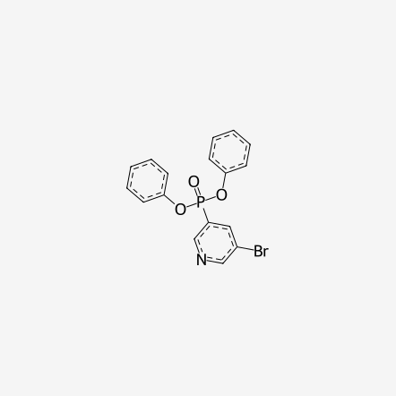 O=P(Oc1ccccc1)(Oc1ccccc1)c1cncc(Br)c1